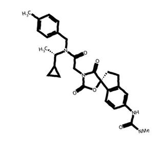 CNC(=O)Nc1ccc2c(c1)CC[C@@]21OC(=O)N(CC(=O)N(Cc2ccc(C)cc2)[C@@H](C)C2CC2)C1=O